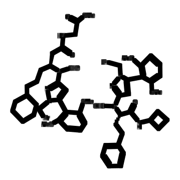 COC(=O)CNC(=O)C[C@H](CCCC1CCCCC1)N(C=O)c1cc(-c2c(OC)cccc2OC)n(CC(C)C)n1.COc1cccc(OC)c1-c1cc(N(C=O)[C@@H](CCc2ccccc2)C(=O)NC2CCC2)nn1CC(C)C